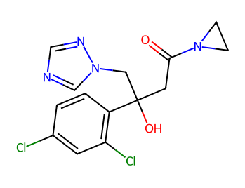 O=C(CC(O)(Cn1cncn1)c1ccc(Cl)cc1Cl)N1CC1